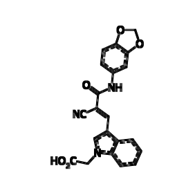 N#C/C(=C\c1cn(CC(=O)O)c2ccccc12)C(=O)Nc1ccc2c(c1)OCO2